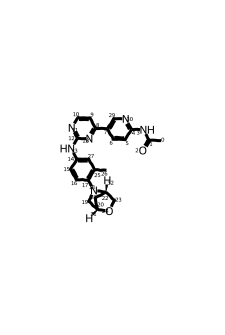 CC(=O)Nc1ccc(-c2ccnc(Nc3ccc(N4C[C@@H]5C[C@H]4CO5)c(C)c3)n2)cn1